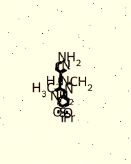 C=C(N)/N=C(\C(C#Cc1ccc(N)nc1)=C(\C)N)c1ccc(S(=O)(=O)C(C)C)cc1